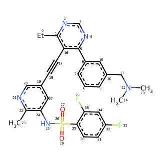 CCc1ncnc(-c2cccc(CN(C)C)c2)c1C#Cc1cnc(C)c(NS(=O)(=O)c2ccc(F)cc2F)c1